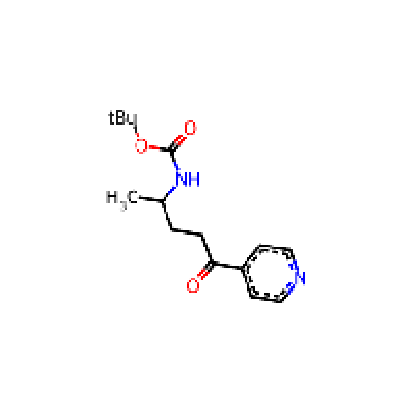 CC(CCC(=O)c1ccncc1)NC(=O)OC(C)(C)C